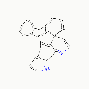 C1=CC2(C=CN=C3C2=Cc2cccnc23)C2=Cc3ccccc3C2=C1